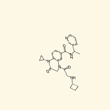 CC(NC(=O)c1ccc2c(c1)N(C(=O)CNC1CCC1)CC(=O)N2C1CC1)c1cccnc1